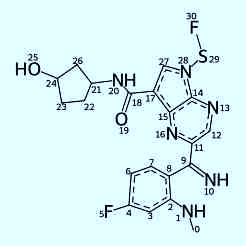 CNc1cc(F)ccc1C(=N)c1cnc2c(n1)c(C(=O)NC1CCC(O)C1)cn2SF